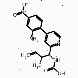 C=C[C@H](C)[C@H](NC(=O)O)c1cc(-c2ccc([N+](=O)[O-])cc2N)ccn1